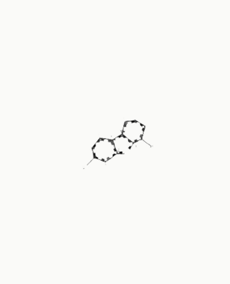 Brc1ccc2c(c1)oc1c(I)cccc12